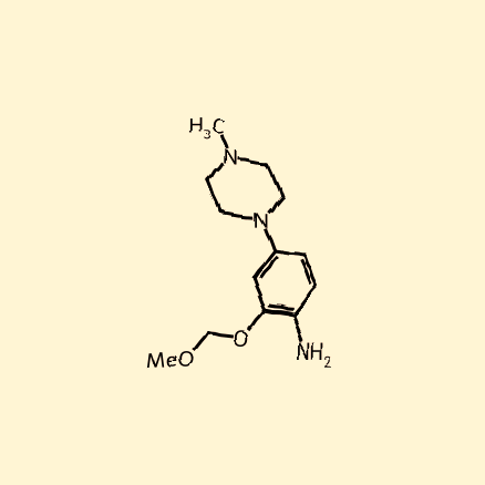 COCOc1cc(N2CCN(C)CC2)ccc1N